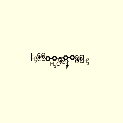 C=CC(=O)Oc1c(C#Cc2ccc(-c3ccc(OC(=O)C(=C)C)cc3)cc2)ccc(-c2ccc(OC(=O)C(=C)C)cc2)c1CCCF